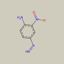 N=Nc1ccc(N)c([N+](=O)[O-])c1